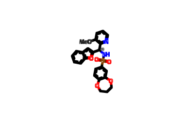 COc1cccnc1[C@@H](NS(=O)(=O)c1ccc2c(c1)OCCCO2)c1cc2ccccc2o1